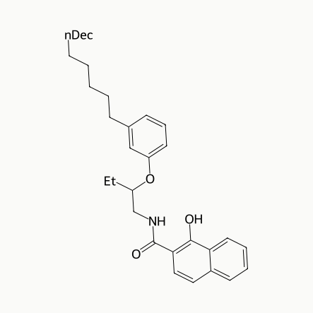 CCCCCCCCCCCCCCCc1cccc(OC(CC)CNC(=O)c2ccc3ccccc3c2O)c1